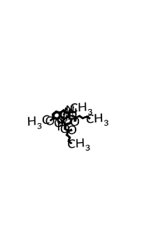 CCCCC(=O)OC1=CC[C@@]2(OC(=O)CCCC)[C@@H]3N(C)CC34Cc3ccc(OC)c5c3[C@@]2(C4)[C@H]1O5